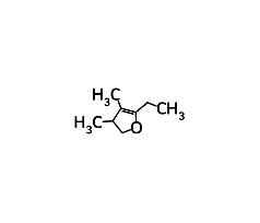 CCC1=C(C)C(C)CO1